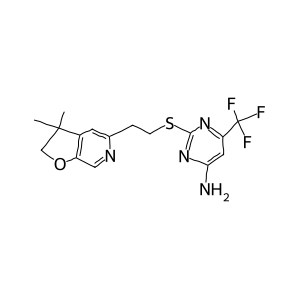 CC1(C)COc2cnc(CCSc3nc(N)cc(C(F)(F)F)n3)cc21